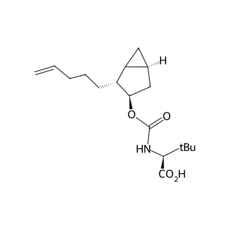 C=CCCC[C@@H]1C2C[C@H]2C[C@H]1OC(=O)N[C@H](C(=O)O)C(C)(C)C